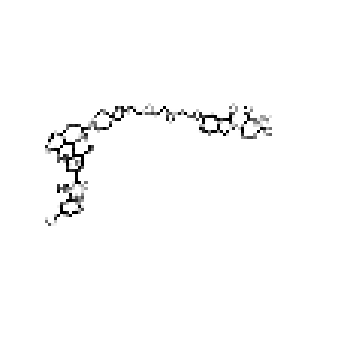 NC1=NC=CC2CCC(N3CCC4(CC3)CN(CCOCCOCCOc3ccc5c(c3)C(=O)N(C3CCC(=O)NC3=O)C5)C4)=NC(c3ccc(C(=O)Nc4cc(Cl)ccn4)cc3F)=C12